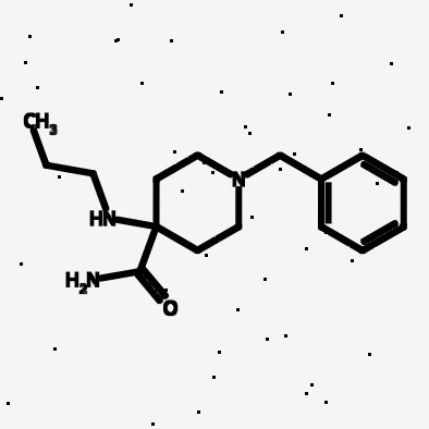 CCCNC1(C(N)=O)CCN(Cc2ccccc2)CC1